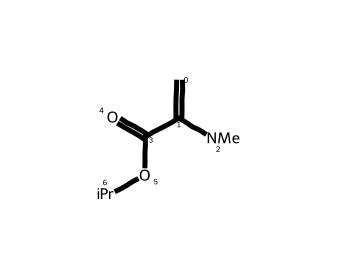 C=C(NC)C(=O)OC(C)C